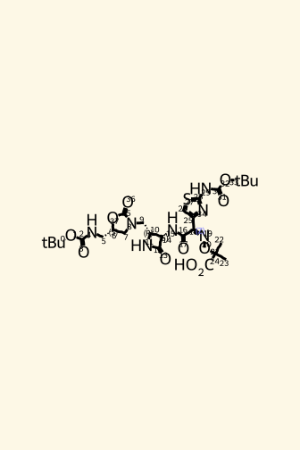 CC(C)(C)OC(=O)NC[C@H]1CN(C[C@H]2NC(=O)[C@H]2NC(=O)/C(=N\OC(C)(C)C(=O)O)c2csc(NC(=O)OC(C)(C)C)n2)C(=O)O1